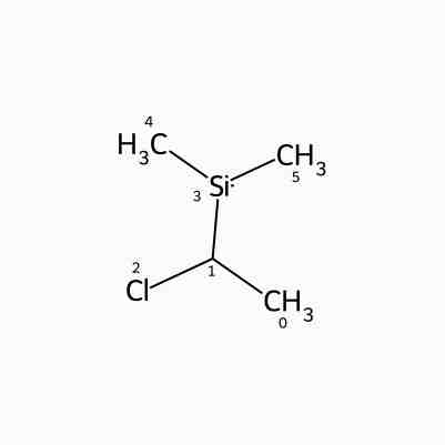 CC(Cl)[Si](C)C